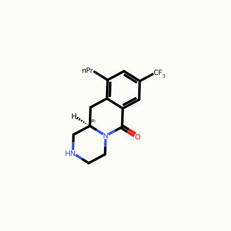 CCCc1cc(C(F)(F)F)cc2c1C[C@@H]1CNCCN1C2=O